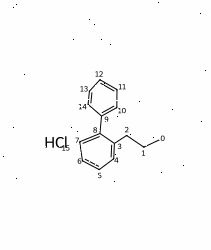 CCCc1ccccc1-c1ccccc1.Cl